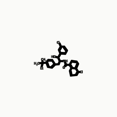 CCC(C)(C)c1ccc(CC(NC(=O)c2cccc3c(Cl)cccc23)C(O)c2cccc(Cl)c2)cc1